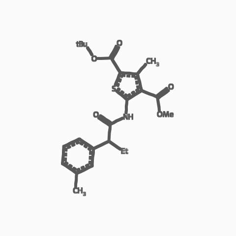 CCC(C(=O)Nc1sc(C(=O)OC(C)(C)C)c(C)c1C(=O)OC)c1cccc(C)c1